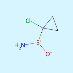 N[S+]([O-])C1(Cl)CC1